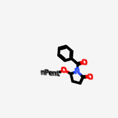 CCCCCOC1CCC(=O)N1C(=O)c1ccccc1